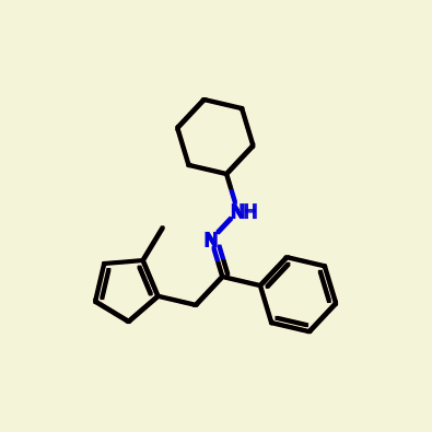 CC1=C(CC(=NNC2CCCCC2)c2ccccc2)CC=C1